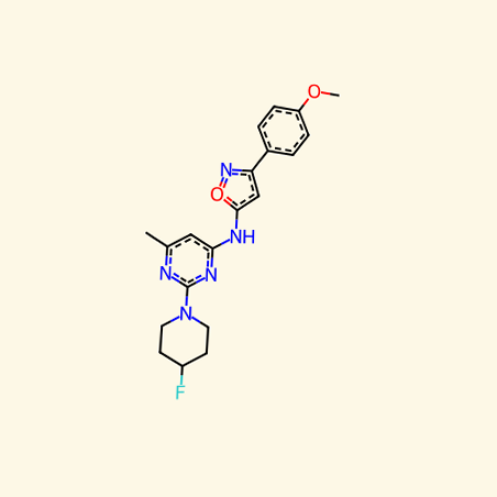 COc1ccc(-c2cc(Nc3cc(C)nc(N4CCC(F)CC4)n3)on2)cc1